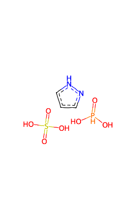 O=S(=O)(O)O.O=[PH](O)O.c1cn[nH]c1